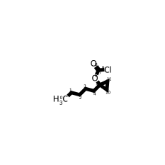 CCCCCC1(OC(=O)Cl)CC1